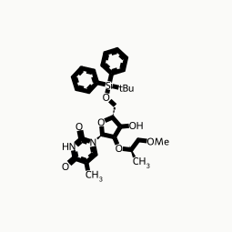 COC[C@@H](C)OC1C(O)[C@@H](CO[Si](c2ccccc2)(c2ccccc2)C(C)(C)C)O[C@H]1n1cc(C)c(=O)[nH]c1=O